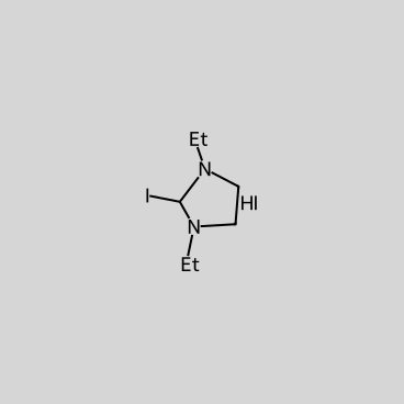 CCN1CCN(CC)C1I.I